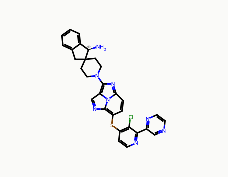 N[C@@H]1c2ccccc2CC12CCN(c1nc3ccc(Sc4ccnc(-c5cnccn5)c4Cl)c4ncc1n34)CC2